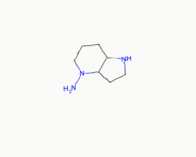 NN1CCCC2NCCC21